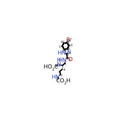 O=C(O)NCCC[C@@H](CNC(=O)c1nc2cc(Br)ccc2[nH]1)NC(=O)O